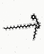 CCCCCCCCCCCCCCCCCCCc1n(CCCCCCC)cc[n+]1CCCc1ccccc1